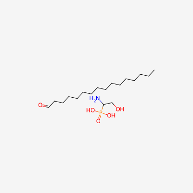 CCCCCCCCCCCCCCCC=O.NC(CO)P(=O)(O)O